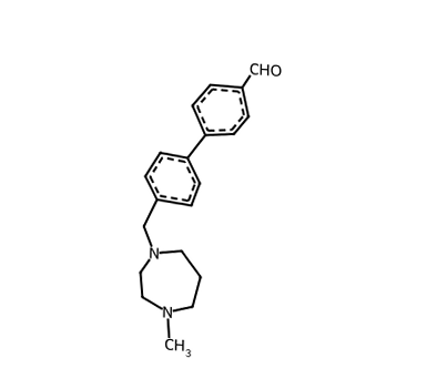 CN1CCCN(Cc2ccc(-c3ccc(C=O)cc3)cc2)CC1